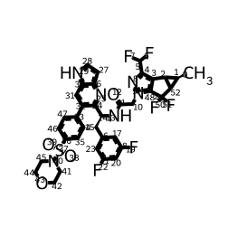 C[C@@H]1C2c3c(C(F)F)nn(CC(=O)N[C@@H](Cc4cc(F)cc(F)c4)c4nc5cc[nH]c5cc4-c4ccc(S(=O)(=O)N5CCOCC5)cc4)c3C(F)(F)C21